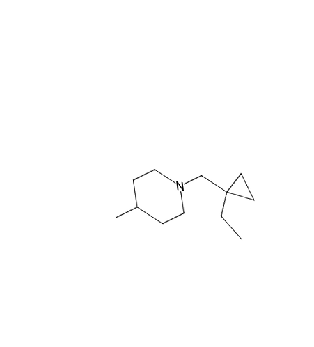 CCC1(CN2CCC(C)CC2)CC1